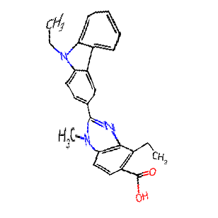 CCc1c(C(=O)O)ccc2c1nc(-c1ccc3c(c1)c1ccccc1n3CC)n2C